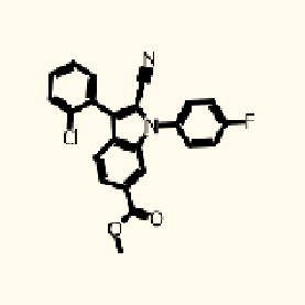 COC(=O)c1ccc2c(-c3ccccc3Cl)c(C#N)n(-c3ccc(F)cc3)c2c1